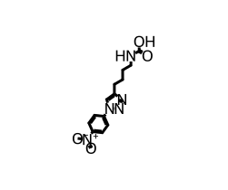 O=C(O)NCCCCc1cn(-c2ccc([N+](=O)[O-])cc2)nn1